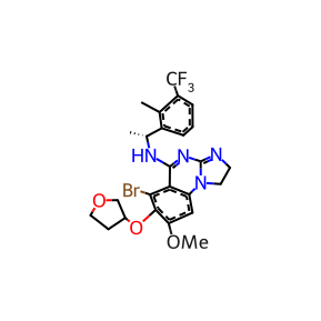 COc1cc2c(c(Br)c1OC1CCOC1)C(N[C@H](C)c1cccc(C(F)(F)F)c1C)=NC1=NCCN12